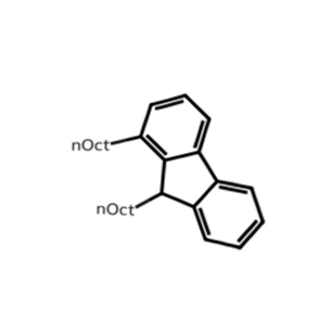 CCCCCCCCc1cccc2c1C(CCCCCCCC)c1ccccc1-2